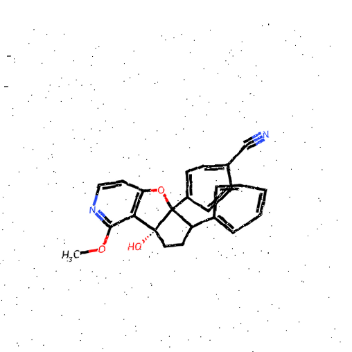 COc1nccc2c1[C@]1(O)CCC(c3ccccc3)C1(c1ccc(C#N)cc1)O2